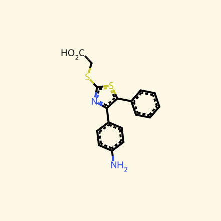 Nc1ccc(-c2nc(SCC(=O)O)sc2-c2ccccc2)cc1